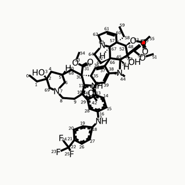 CC[C@]1(O)C[C@H]2CN(CCc3c([nH]c4ccc(Nc5ccc(C(F)(F)F)cc5)cc34)[C@@](C(=O)OC)(C3C=C4C(=CC3OC)N(C)[C@H]3[C@@](O)(C(=O)OC)[C@H](OC(C)=O)[C@]5(CC)C=CCN6CC[C@]43[C@@H]65)C2)C1